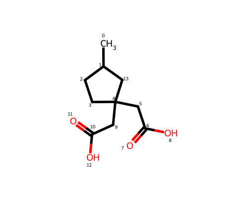 CC1CCC(CC(=O)O)(CC(=O)O)C1